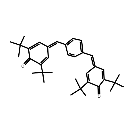 CC(C)(C)C1=CC(=Cc2ccc(C=C3C=C(C(C)(C)C)C(=O)C(C(C)(C)C)=C3)cc2)C=C(C(C)(C)C)C1=O